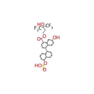 O=C(OCCC(O)(C(F)(F)F)C(F)(F)F)c1ccc(-c2cccc3c(OS(=O)O)cccc23)c2ccc(O)cc12